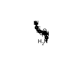 Cn1cc(-c2ccc(CN3CCC(O)(Cn4cnc5c(-c6ccc(CN)cc6)n(C)nc5c4=O)CC3)c(F)c2)cn1